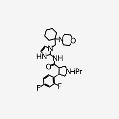 CC(C)N1CC(C(=O)NC2NC=CN2CC2(N3CCOCC3)CCCCC2)[C@H](c2ccc(F)cc2F)C1